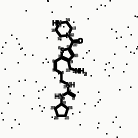 C=C(NCC/C=C\c1sc(C(=O)N2CCNCC2)cc1CN)NC1CCCC1